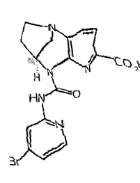 O=C(O)c1ccc2c(n1)N(C(=O)Nc1cc(Br)ccn1)[C@H]1CCN2C1